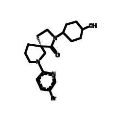 O=C1N(C2CCC(O)CC2)CC[C@]12CCCN(c1ccc(Br)cn1)C2